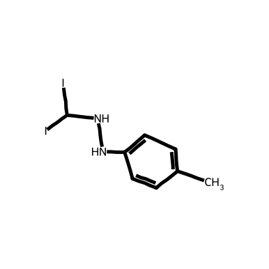 Cc1ccc(NNC(I)I)cc1